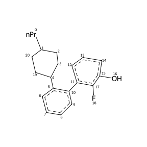 CCCC1CCC(c2ccccc2-c2cccc(O)c2F)CC1